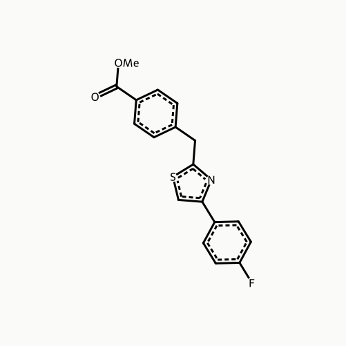 COC(=O)c1ccc(Cc2nc(-c3ccc(F)cc3)cs2)cc1